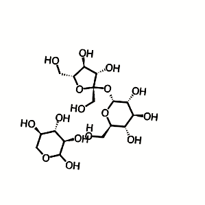 OC1OC[C@@H](O)[C@H](O)[C@H]1O.OC[C@H]1O[C@@](CO)(O[C@H]2O[C@H](CO)[C@@H](O)[C@H](O)[C@H]2O)[C@@H](O)[C@@H]1O